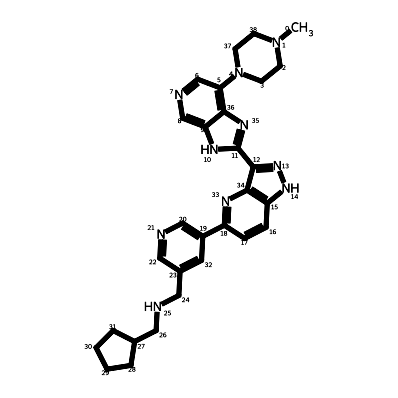 CN1CCN(c2cncc3[nH]c(-c4n[nH]c5ccc(-c6cncc(CNCC7CCCC7)c6)nc45)nc23)CC1